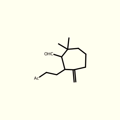 C=C1CCCC(C)(C)C(C=O)C1CCC(C)=O